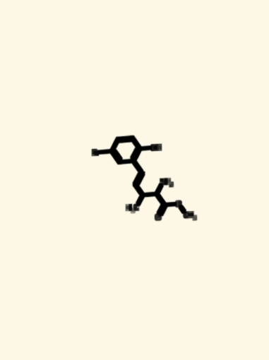 COC(=O)C(N)C(C)C=Cc1cc(Br)ccc1O